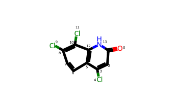 O=c1cc(Cl)c2ccc(Cl)c(Cl)c2[nH]1